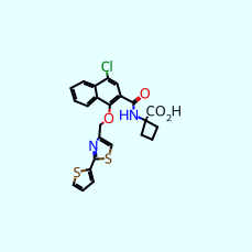 O=C(NC1(C(=O)O)CCC1)c1cc(Cl)c2ccccc2c1OCc1csc(-c2cccs2)n1